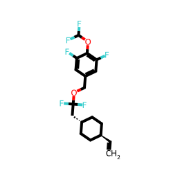 C=C[C@H]1CC[C@H](CC(F)(F)OCc2cc(F)c(OC(F)F)c(F)c2)CC1